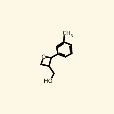 Cc1cccc(C2OCC2CO)c1